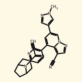 C#CC(=O)N1CC2CCC(C1)N2c1ccc(-c2cc(-c3cnn(C)c3)cn3ncc(C#N)c23)cn1